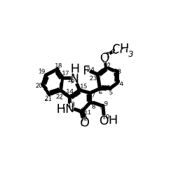 COc1cccc(-c2c(CO)c(=O)[nH]c3c2[nH]c2ccccc23)c1F